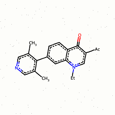 CCn1cc(C(C)=O)c(=O)c2ccc(-c3c(C)cncc3C)cc21